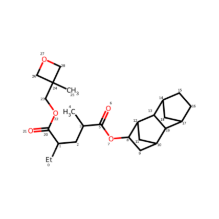 CCC(CC(C)C(=O)OC1CC2CC1C1C3CCC(C3)C21)C(=O)OCC1(C)COC1